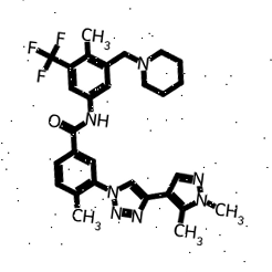 Cc1ccc(C(=O)Nc2cc(CN3CCCCC3)c(C)c(C(F)(F)F)c2)cc1-n1cc(-c2cnn(C)c2C)nn1